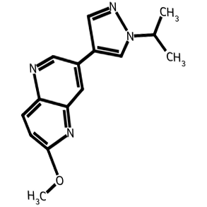 COc1ccc2ncc(-c3cnn(C(C)C)c3)cc2n1